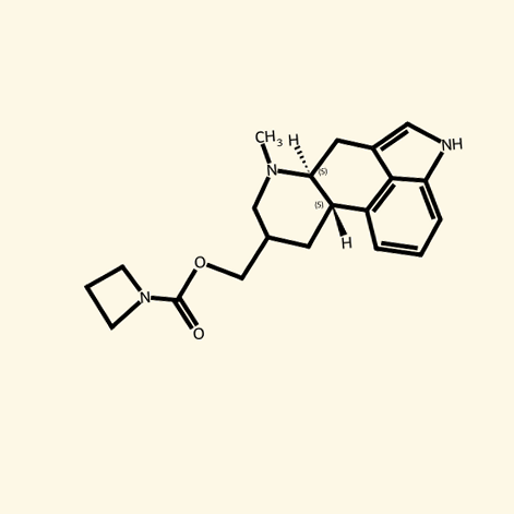 CN1CC(COC(=O)N2CCC2)C[C@H]2c3cccc4[nH]cc(c34)C[C@@H]21